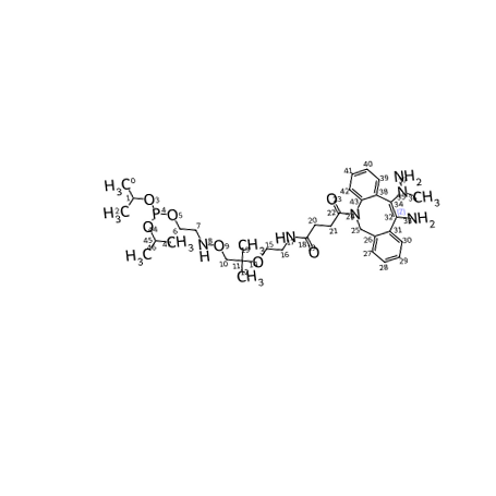 CC(C)OP(OCCNOCC(C)(C)OCCNC(=O)CCC(=O)N1Cc2ccccc2/C(N)=C(/N(C)N)c2ccccc21)OC(C)C